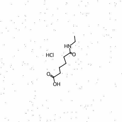 CCNC(=O)CCCCC(=O)O.Cl